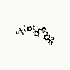 NS(=O)(=O)OC[C@H]1C[C@@H](Nc2ncncc2C(=O)c2ccn(Cc3cccc(C4(O)COC4)n3)n2)C[C@@H]1O